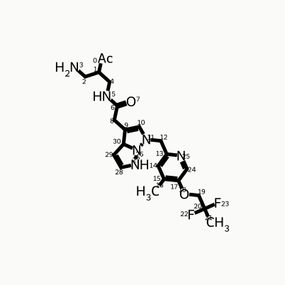 CC(=O)C(CN)CNC(=O)CC1=CN(Cc2cc(C)c(OCC(C)(F)F)cn2)N2NC=CC12